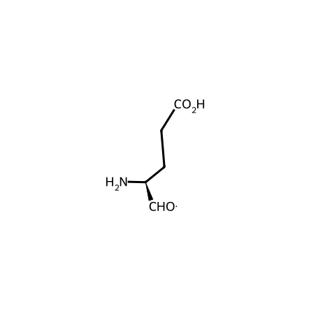 N[C@H]([C]=O)CCC(=O)O